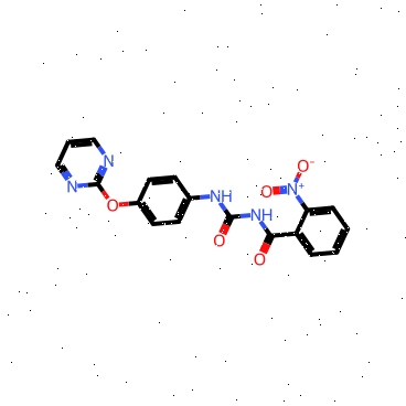 O=C(NC(=O)c1ccccc1[N+](=O)[O-])Nc1ccc(Oc2ncccn2)cc1